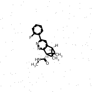 CNC(=O)[C@]12CC[C@H](c3cc(-c4ccccc4F)nnc31)C2(C)C